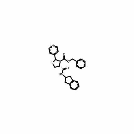 O=C(NC1Cc2ccccc2C1)[C@@H]1CSC(c2ccncc2)N1C(=O)OCc1ccccc1